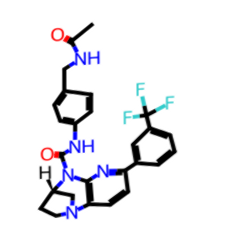 CC(=O)NCc1ccc(NC(=O)N2c3nc(-c4cccc(C(F)(F)F)c4)ccc3N3CC[C@H]2C3)cc1